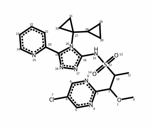 COC(c1ncc(Cl)cn1)C(C)S(=O)(=O)Nc1nnc(-c2ccccn2)n1C1(C2CC2)CC1